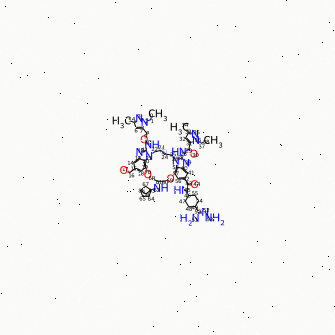 CCn1nc(C)cc1CONc1nc2cc(C=O)cc3c2n1C/C=C/Cn1c(NC(=O)c2cc(C)nn2CC)nc2cc(C(=O)NC4CCC(/C(N)=N/N)CC4)cc(c21)OCC(NC12CCC(C1)C2)CO3